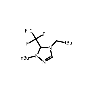 CCCCN1N=CN(CC(C)(C)C)C1C(F)(F)C(F)(F)F